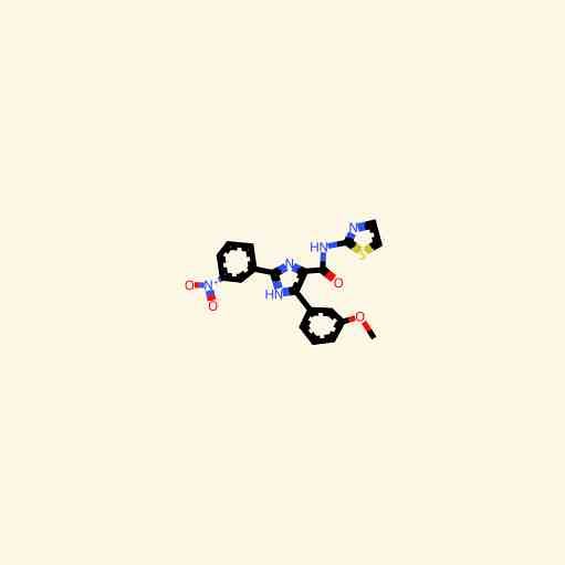 COc1cccc(-c2[nH]c(-c3cccc([N+](=O)[O-])c3)nc2C(=O)Nc2nccs2)c1